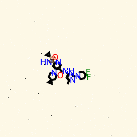 Cc1cc(NC(=O)c2cnc([S@](=N)(=O)C3CC3)cc2N2CCC3(CC2)CC3)nc(N2CCC(F)(F)CC2)n1